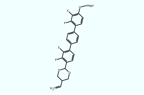 C=CC1COC(c2ccc(-c3ccc(-c4ccc(OCCCCCCC)c(F)c4F)cc3)c(F)c2F)OC1